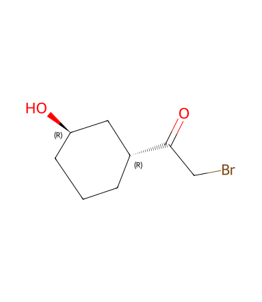 O=C(CBr)[C@@H]1CCC[C@@H](O)C1